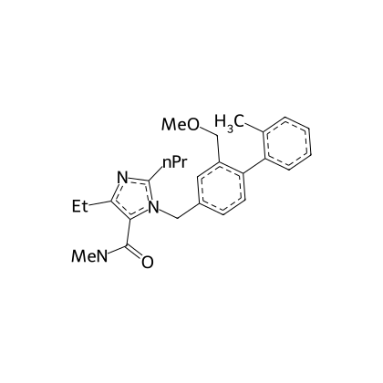 CCCc1nc(CC)c(C(=O)NC)n1Cc1ccc(-c2ccccc2C)c(COC)c1